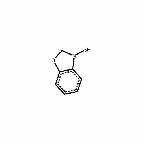 SN1COc2ccccc21